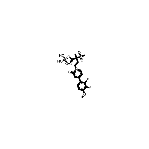 COc1ccc(-c2ccn(CCC(C)(C3=NO[B-](O)(O)O3)S(C)(=O)=O)c(=O)c2)c(F)c1F